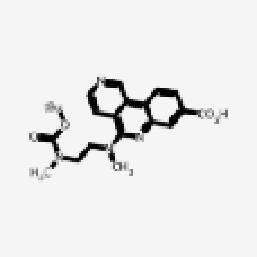 CN(CCN(C)c1nc2cc(C(=O)O)ccc2c2cnccc12)C(=O)OC(C)(C)C